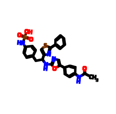 CC(=O)Nc1ccc(-c2cnc(NC(Cc3ccc(NS(=O)(=O)O)cc3)c3csc(-c4ccccc4)n3)o2)cc1